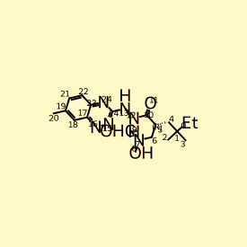 CCC(C)(C)C[C@H](CN(O)C=O)C(=O)NNc1nnc2cc(C)ccc2n1